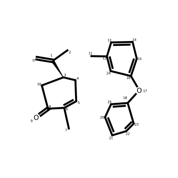 C=C(C)[C@H]1CC=C(C)C(=O)C1.Cc1cccc(Oc2ccccc2)c1